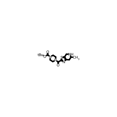 CC1Cc2nc(C(=O)N3CCN(C(=O)OC(C)(C)C)CC3)sc2CN1